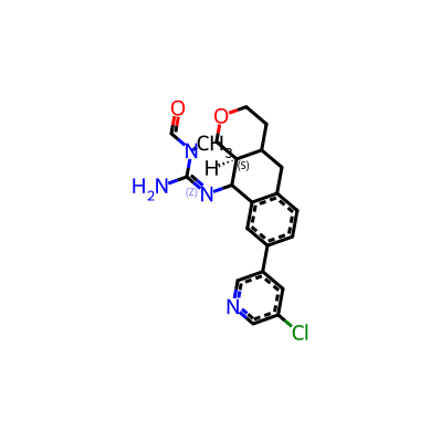 CN(C=O)/C(N)=N\C1c2cc(-c3cncc(Cl)c3)ccc2CC2CCOC[C@@H]21